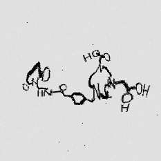 O=C(O)CN1CCN(Cc2ccc(CC(=O)NCCN3C(=O)C=CC3=O)cc2)CCN(CC(O)O)CC1